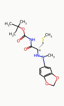 CSC[C@H](NN(C)c1ccc2c(c1)OCO2)C(=O)NC(=O)OC(C)(C)C